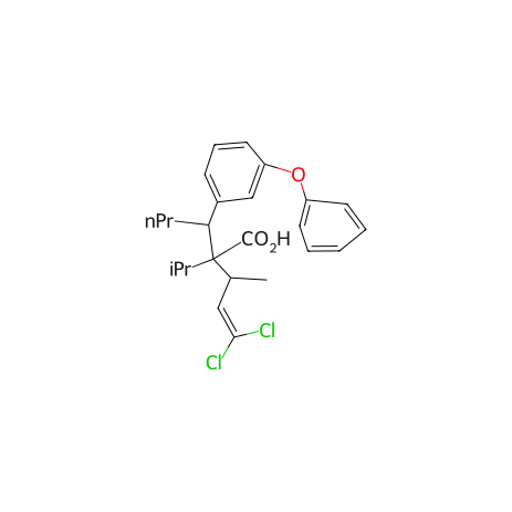 CCCC(c1cccc(Oc2ccccc2)c1)C(C(=O)O)(C(C)C)C(C)C=C(Cl)Cl